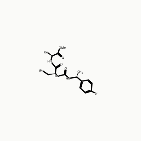 CCC(C)[C@H](NC(=O)[C@H](CC(C)C)NC(=O)N[C@H](C)c1ccc(Br)cc1)C(=O)OC